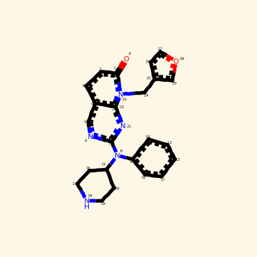 O=c1ccc2cnc(N(c3ccccc3)C3CCNCC3)nc2n1Cc1ccoc1